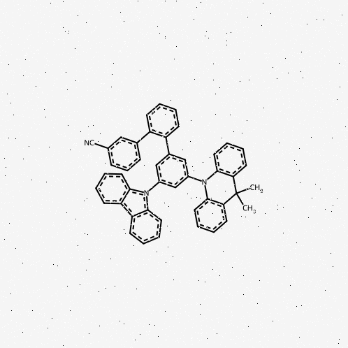 CC1(C)c2ccccc2N(c2cc(-c3ccccc3-c3cccc(C#N)c3)cc(-n3c4ccccc4c4ccccc43)c2)c2ccccc21